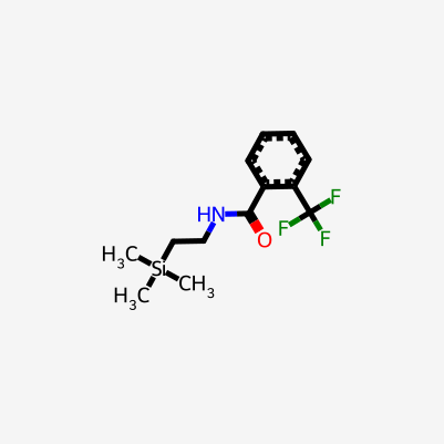 C[Si](C)(C)CCNC(=O)c1ccccc1C(F)(F)F